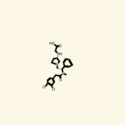 CN(C(=O)Cc1ccc(Cl)c(Cl)c1)[C@H](CN1CC[C@H](NCC(=O)O)C1)c1ccccc1